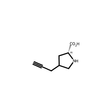 C#CCC1CN[C@@H](C(=O)O)C1